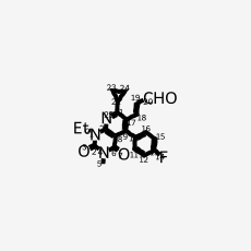 CCn1c(=O)n(C)c(=O)c2c(-c3ccc(F)cc3)c(C=CC=O)c(C3CC3)nc21